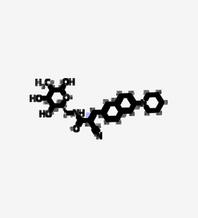 CC1C(O)O[C@H](CNC(=O)/C(C#N)=C/c2ccc3cc(N4CCCCC4)ccc3c2)C(O)C1O